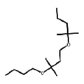 CCCCOC(C)(C)CCOC(C)(C)CCC